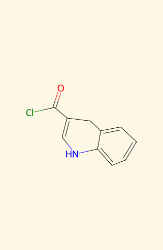 O=C(Cl)C1=CNc2ccccc2C1